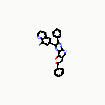 O=C(Cc1c[nH]c2nc(-c3ccccc3)c(-c3cc(Cl)c4ncccc4c3)nc2c1=O)c1ccccc1